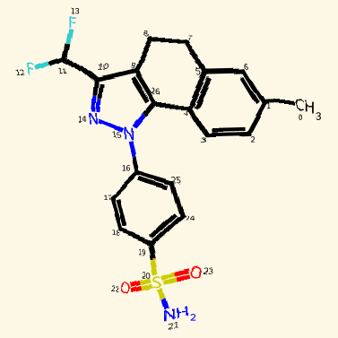 Cc1ccc2c(c1)CCc1c(C(F)F)nn(-c3ccc(S(N)(=O)=O)cc3)c1-2